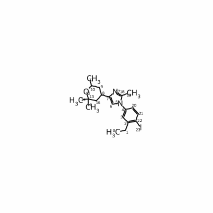 CCc1cc(-n2cc(C3CC(C)OC(C)(C)C3)nc2C)ccc1I